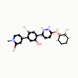 Cn1ccc(-c2cc(O)c(-c3ccc(O[C@@H]4CCCC[C@@H]4F)nn3)cc2F)cc1=O